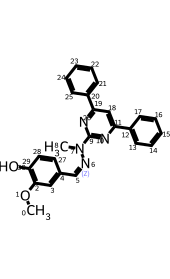 COc1cc(/C=N\N(C)c2nc(-c3ccccc3)cc(-c3ccccc3)n2)ccc1O